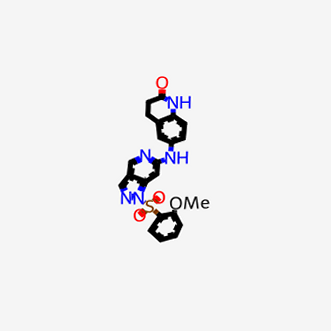 COc1ccccc1S(=O)(=O)n1ncc2cnc(Nc3ccc4c(c3)CCC(=O)N4)cc21